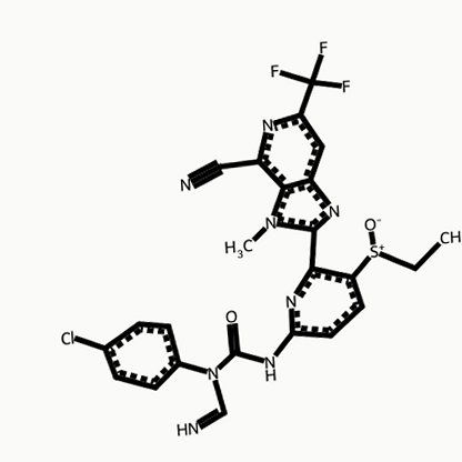 CC[S+]([O-])c1ccc(NC(=O)N(C=N)c2ccc(Cl)cc2)nc1-c1nc2cc(C(F)(F)F)nc(C#N)c2n1C